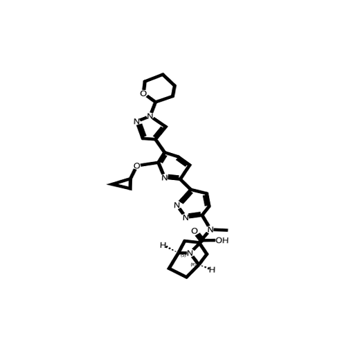 CN(c1ccc(-c2ccc(-c3cnn(C4CCCCO4)c3)c(OC3CC3)n2)nn1)C1C[C@H]2CC[C@@H](C1)N2C(=O)O